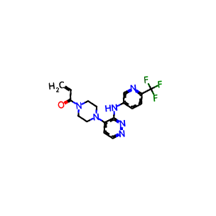 C=CC(=O)N1CCN(c2ccnnc2Nc2ccc(C(F)(F)F)nc2)CC1